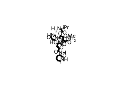 CO[C@H]1[C@@H](OC(=O)[C@H](N)C(C)C)[C@H](N2C=CC(=O)NC2)O[C@@H]1[C@@H](OC1OC(C(=O)N[C@H]2CCC[C@@H](C)NC2=O)=C[C@H](O)[C@@H]1O)C(N)=O